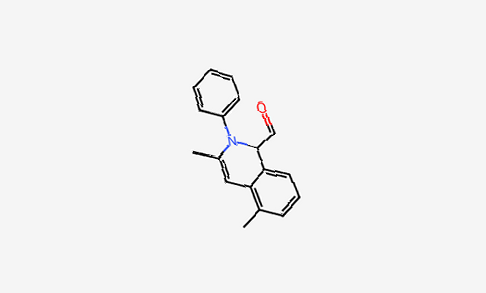 CC1=Cc2c(C)cccc2C(C=O)N1c1ccccc1